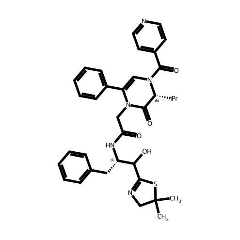 CC(C)[C@@H]1C(=O)N(CC(=O)N[C@@H](Cc2ccccc2)C(O)C2=NCC(C)(C)S2)C(c2ccccc2)=CN1C(=O)c1ccncc1